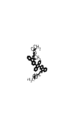 C=CC(=O)OCCCC1(C=C)c2ccccc2-c2ccc(-c3c4ccccc4c(-c4ccc5c(c4)C(C=C)(CCCOC(=O)C=C)c4ccccc4-5)c4ccccc34)cc21